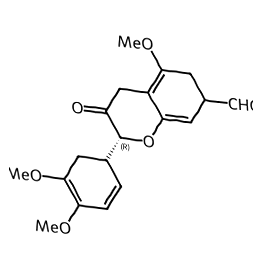 COC1=C(OC)CC([C@H]2OC3=CC(C=O)CC(OC)=C3CC2=O)C=C1